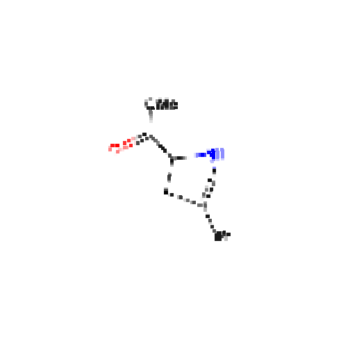 COC(=O)C1CC(C(C)C)=CN1